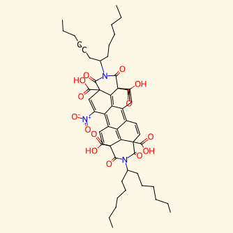 CCCCCCC(CCCCCC)N1C(=O)C2(C(=O)O)C=Cc3c4c5c(c6c3=C2C(C(=O)O)(C=C6)C1=O)C([N+](=O)[O-])=CC1(C(=O)O)C(=O)N(C(CCCCCC)CCCCCC)C(=O)C(C(=O)O)(C=C4)C=51